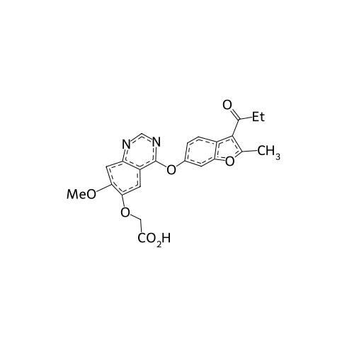 CCC(=O)c1c(C)oc2cc(Oc3ncnc4cc(OC)c(OCC(=O)O)cc34)ccc12